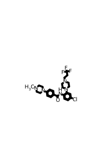 CN1CCN(c2ccc(C(=O)Nc3ccc(Cl)cc3N3CCN(CCC(F)(F)F)CC3)cc2)CC1